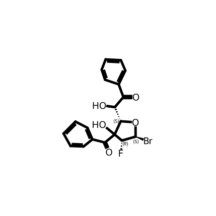 O=C(c1ccccc1)C(O)[C@@H]1O[C@@H](Br)[C@H](F)C1(O)C(=O)c1ccccc1